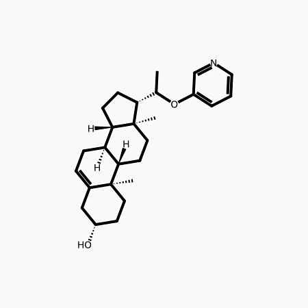 CC(Oc1cccnc1)[C@H]1CC[C@H]2[C@@H]3CC=C4C[C@@H](O)CC[C@]4(C)[C@H]3CC[C@]12C